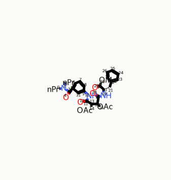 CCCN(CCC)C(=O)c1cccc(NC(=O)C(OC(C)=O)C(OC(C)=O)C(=O)N[C@@H](Cc2ccccc2)C(=O)OC)c1